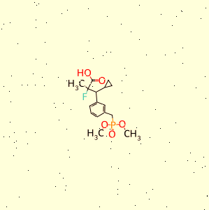 COP(=O)(Cc1cccc(C(C2CC2)C(C)(F)C(=O)O)c1)OC